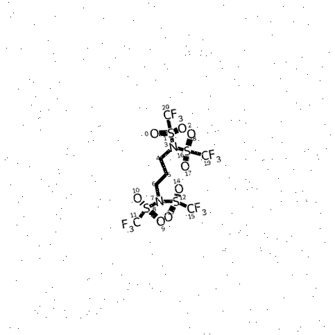 O=S(=O)(N(CCCN(S(=O)(=O)C(F)(F)F)S(=O)(=O)C(F)(F)F)S(=O)(=O)C(F)(F)F)C(F)(F)F